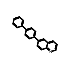 c1ccc(-c2ccc(-c3ccc4ncccc4c3)cc2)cc1